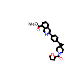 COC(=O)c1cccc2cc(-c3ccc(C4CC45CCN(C(=O)C4CCCO4)CC5)cc3)ncc12